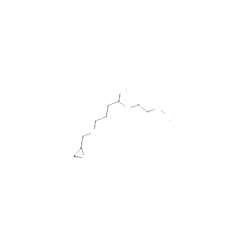 CC(CCCOCC1CO1)OCCO[SiH3]